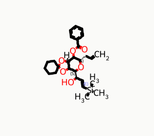 C=CC[C@@H]1O[C@@H](C(O)/C=C/[Si](C)(C)C)C2OC3(CCCCC3)O[C@H]2C1OC(=O)c1ccccc1